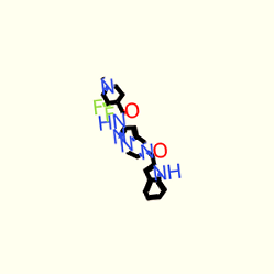 CN1CCC(C(=O)Nc2cc3n(n2)CCN(C(=O)c2cc4ccccc4[nH]2)C3)C(F)(F)C1